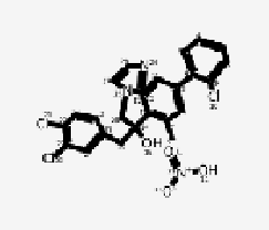 Cc1cc(-c2ccccc2Cl)ccc1C(O)(Cc1ccc(Cl)c(Cl)c1)Cn1ccnc1.O=[N+]([O-])O